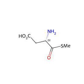 CSC(=O)[C@@H](N)CC(=O)O